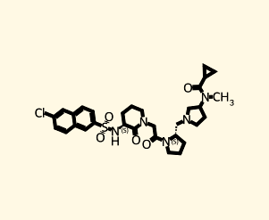 CN(C(=O)C1CC1)C1CCN(C[C@@H]2CCCN2C(=O)CN2CCC[C@H](NS(=O)(=O)c3ccc4cc(Cl)ccc4c3)C2=O)C1